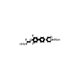 CCCCCCCCC[Si@H]1CC[C@H](c2ccc(-c3cc(F)c(OC[C@@H](F)CCCCCC)c(F)c3)cc2)CC1